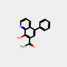 CC(=O)c1cc(-c2ccccc2)c2cccnc2c1O